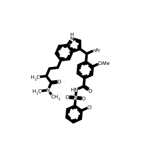 CCCC(c1ccc(C(=O)NS(=O)(=O)c2ccccc2Cl)cc1OC)c1c[nH]c2ccc(CCC(C)C(=O)N(C)C)cc12